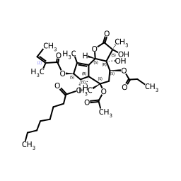 C/C=C(/C)C(=O)O[C@H]1C(C)=C2[C@H]([C@@H]1OC(=O)CCCCCCC)[C@@](C)(OC(C)=O)C[C@H](OC(=O)CC)[C@@]1(O)[C@H]2OC(=O)[C@@]1(C)O